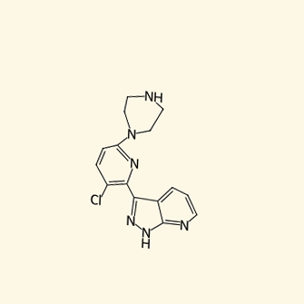 Clc1ccc(N2CCNCC2)nc1-c1n[nH]c2ncccc12